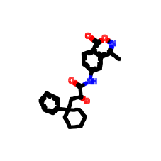 Cc1noc(=O)c2ccc(NC(=O)C(=O)CC3(c4ccccc4)CCCCC3)cc12